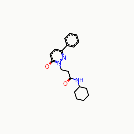 O=C(CCn1nc(-c2ccccc2)ccc1=O)NC1CCCCC1